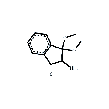 COC1(OC)c2ccccc2CC1N.Cl